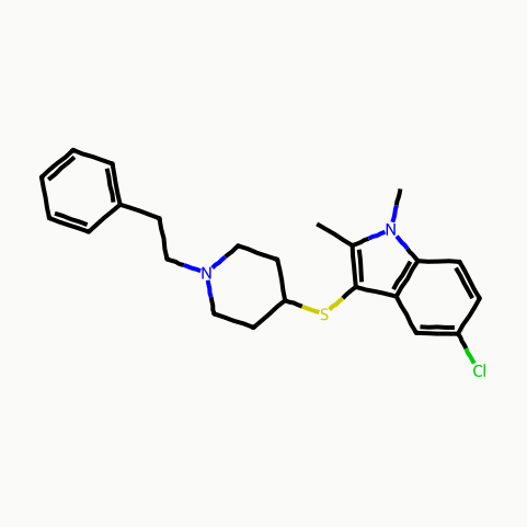 Cc1c(SC2CCN(CCc3ccccc3)CC2)c2cc(Cl)ccc2n1C